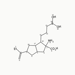 C=C(CC)C1CC2CC(N)(C(=O)O)C(CCCB(O)O)C2C1